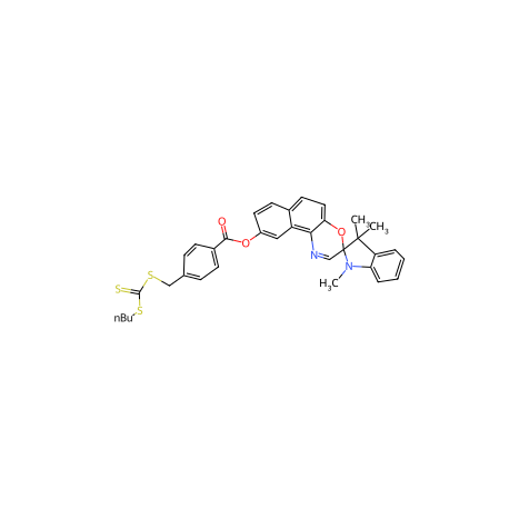 CCCCSC(=S)SCc1ccc(C(=O)Oc2ccc3ccc4c(c3c2)N=CC2(O4)N(C)c3ccccc3C2(C)C)cc1